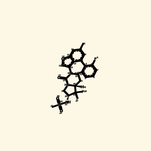 Cc1cc(-c2c(F)cccc2F)c2c(N3CC[C@H]4N(C[C@@H](NS(C)(=O)=O)C4(F)F)C3=O)noc2c1